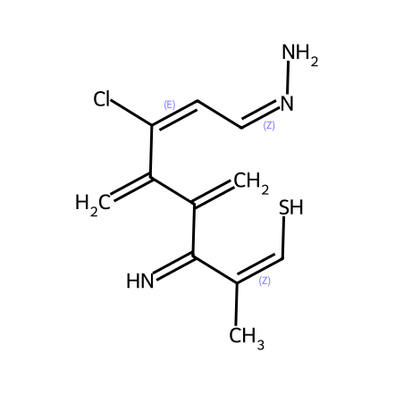 C=C(C(=C)/C(Cl)=C\C=N/N)C(=N)/C(C)=C\S